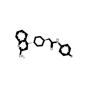 Cc1cc([C@H]2CC[C@H](CC(=O)Nc3ccc(F)cc3)CC2)c2ccccc2n1